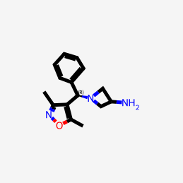 Cc1noc(C)c1[C@@H](c1ccccc1)N1CC(N)C1